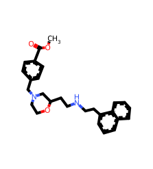 COC(=O)c1ccc(CN2CCOC(CCNCCc3cccc4ccccc34)C2)cc1